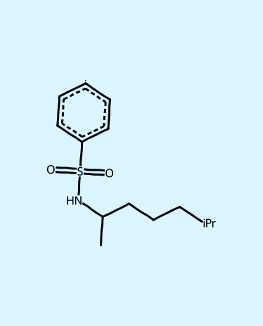 CC(C)CCCC(C)NS(=O)(=O)c1cc[c]cc1